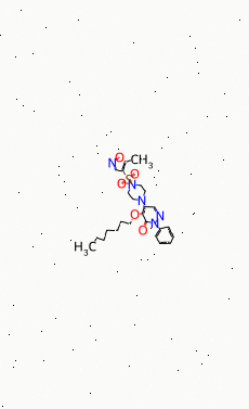 CCCCCCCOc1c(N2CCN(S(=O)(=O)c3cnoc3C)CC2)cnn(-c2ccccc2)c1=O